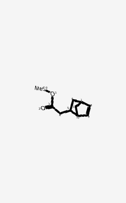 CSOC(=O)CC1CC2C=CC1C2